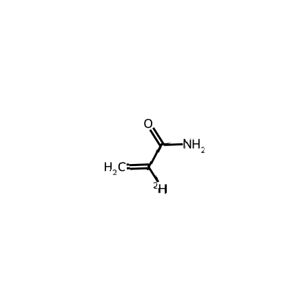 [2H]C(=C)C(N)=O